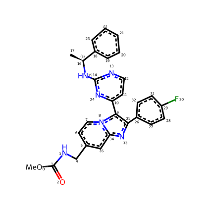 COC(=O)NCc1ccn2c(-c3ccnc(N[C@@H](C)c4ccccc4)n3)c(-c3ccc(F)cc3)nc2c1